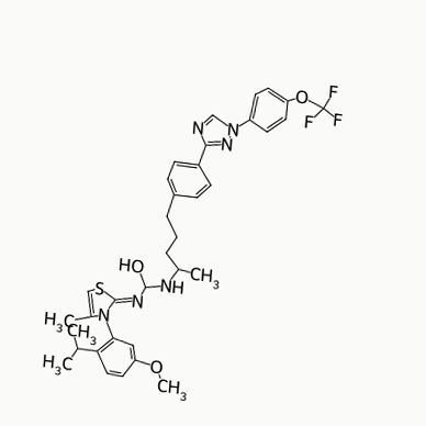 COc1ccc(C(C)C)c(-n2c(C)cs/c2=N\C(O)NC(C)CCCc2ccc(-c3ncn(-c4ccc(OC(F)(F)F)cc4)n3)cc2)c1